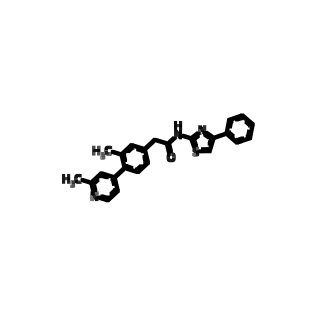 Cc1cc(-c2ccc(CC(=O)Nc3nc(-c4ccccc4)cs3)cc2C)ccn1